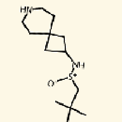 CC(C)(C)C[S+]([O-])NC1CC2(CCNCC2)C1